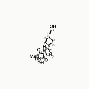 CNC(=O)C(C)(NC(=O)c1ccc(C#CO)cc1)C(=O)NO